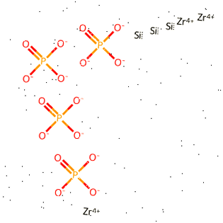 O=P([O-])([O-])[O-].O=P([O-])([O-])[O-].O=P([O-])([O-])[O-].O=P([O-])([O-])[O-].[Si].[Si].[Si].[Zr+4].[Zr+4].[Zr+4]